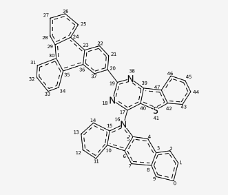 c1ccc2cc3c(cc2c1)c1ccccc1n3-c1nc(-c2ccc3c4ccccc4c4ccccc4c3c2)nc2c1sc1ccccc12